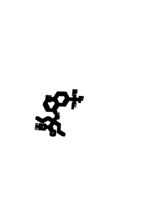 CCCC(CCC)(Sc1ccnc2ccc(C(F)(F)F)cc12)C(=O)O